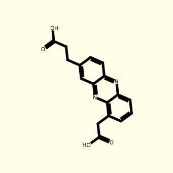 O=C(O)CCc1ccc2nc3cccc(CC(=O)O)c3nc2c1